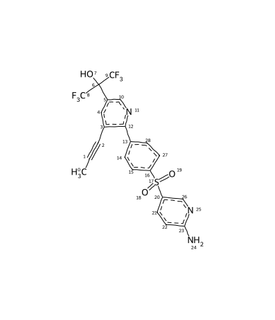 CC#Cc1cc(C(O)(C(F)(F)F)C(F)(F)F)cnc1-c1ccc(S(=O)(=O)c2ccc(N)nc2)cc1